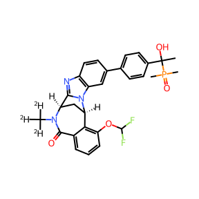 [2H]C([2H])([2H])N1C(=O)c2cccc(OC(F)F)c2[C@H]2C[C@@H]1c1nc3ccc(-c4ccc(C(C)(O)P(C)(C)=O)cc4)cc3n12